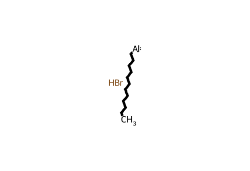 Br.CCCCCCCCCCC[CH2][Al]